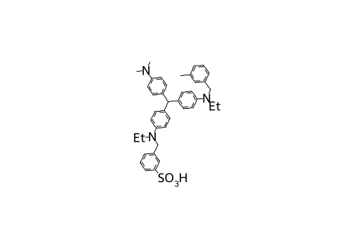 CCN(Cc1cccc(C)c1)c1ccc(C(c2ccc(N(C)C)cc2)c2ccc(N(CC)Cc3cccc(S(=O)(=O)O)c3)cc2)cc1